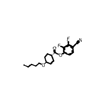 CCCCCO[C@H]1CC[C@H](C(=O)Oc2ccc(C#N)c(F)c2F)CC1